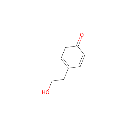 O=C1C=CC(CCO)=CC1